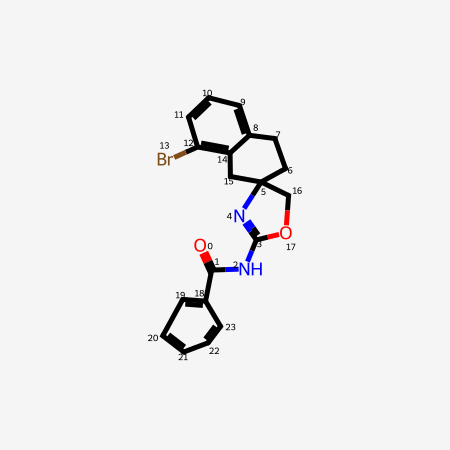 O=C(NC1=NC2(CCc3cccc(Br)c3C2)CO1)c1ccccc1